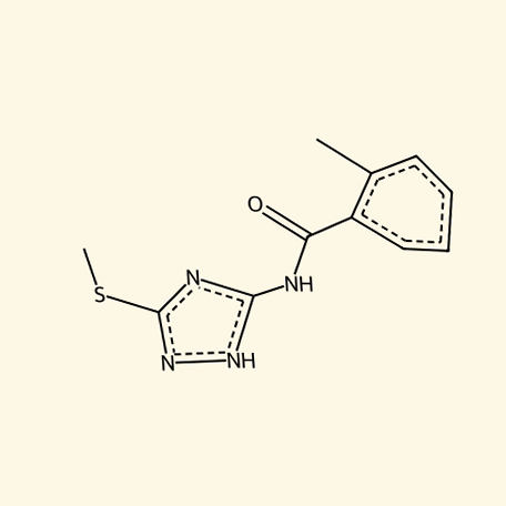 CSc1n[nH]c(NC(=O)c2ccccc2C)n1